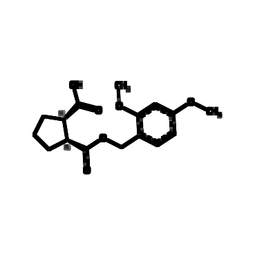 COc1ccc(COC(=O)[C@H]2CCC[C@H]2C(=O)O)c(OC)c1